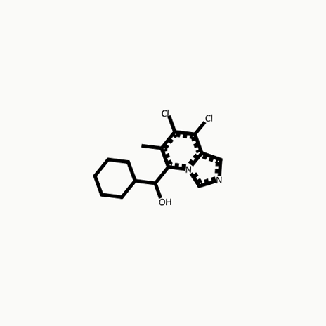 Cc1c(Cl)c(Cl)c2cncn2c1C(O)C1CCCCC1